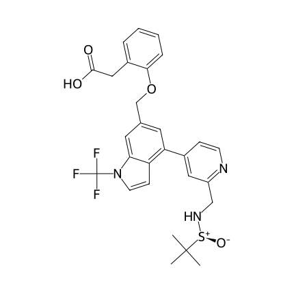 CC(C)(C)[S@+]([O-])NCc1cc(-c2cc(COc3ccccc3CC(=O)O)cc3c2ccn3C(F)(F)F)ccn1